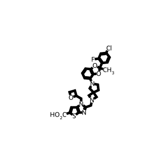 CC1(c2ccc(Cl)cc2F)Oc2cccc(N3CCC4(CN(Cc5nc6sc(C(=O)O)cc6n5CC5CCO5)C4)C3)c2O1